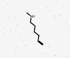 C=C[CH]CCCNC